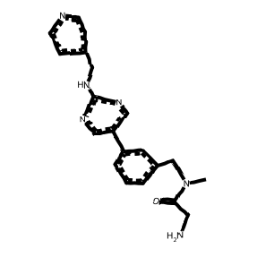 CN(Cc1cccc(-c2cnc(NCc3ccncc3)nc2)c1)C(=O)CN